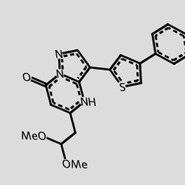 COC(Cc1cc(=O)n2ncc(-c3cc(-c4ccccc4)cs3)c2[nH]1)OC